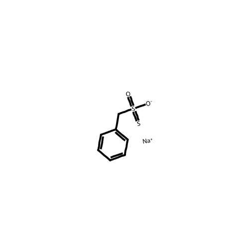 O=S([O-])(=S)Cc1ccccc1.[Na+]